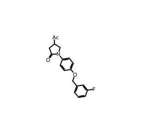 CC(=O)C1CC(=O)N(c2ccc(OCc3cccc(F)c3)cc2)C1